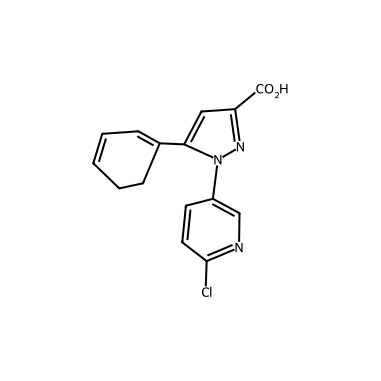 O=C(O)c1cc(C2=CC=CCC2)n(-c2ccc(Cl)nc2)n1